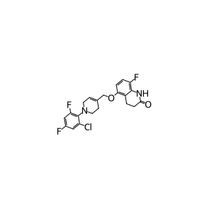 O=C1CCc2c(OCC3=CCN(c4c(F)cc(F)cc4Cl)CC3)ccc(F)c2N1